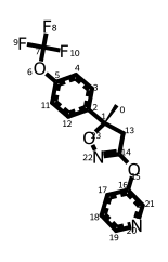 C[C@@]1(c2ccc(OC(F)(F)F)cc2)CC(Oc2cccnc2)=NO1